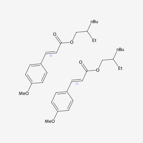 CCCCC(CC)COC(=O)/C=C/c1ccc(OC)cc1.CCCCC(CC)COC(=O)/C=C/c1ccc(OC)cc1